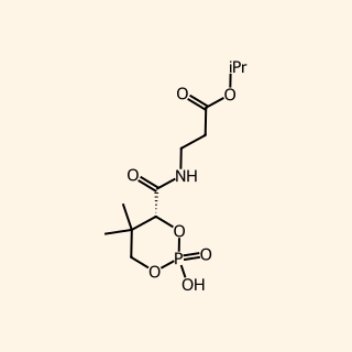 CC(C)OC(=O)CCNC(=O)[C@@H]1OP(=O)(O)OCC1(C)C